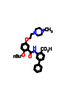 CCCCOc1ccc(OCCN2CCN(C)CC2)cc1C(=O)Nc1cc(-c2ccccc2)ccc1C(=O)O